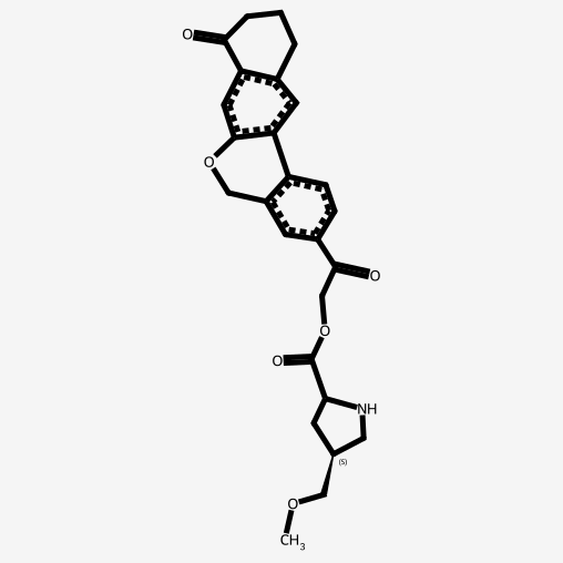 COC[C@@H]1CNC(C(=O)OCC(=O)c2ccc3c(c2)COc2cc4c(cc2-3)CCCC4=O)C1